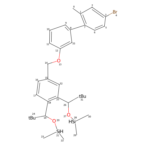 Cc1cc(Br)ccc1-c1cccc(OCc2ccc(C(O[SiH](C)C)C(C)(C)C)c(C(O[SiH](C)C)C(C)(C)C)c2)c1